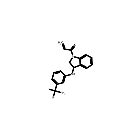 C=CC(=O)N1CC(Nc2cccc(C(F)(F)P)c2)c2ccccc21